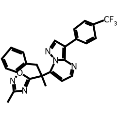 Cc1noc(C(C)(Cc2ccccc2)c2ccnc3c(-c4ccc(C(F)(F)F)cc4)cnn23)n1